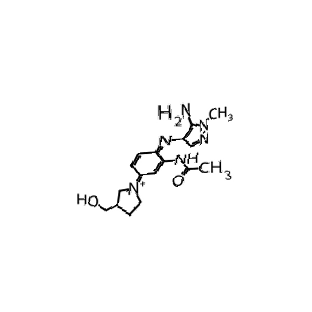 CC(=O)NC1=CC(=[N+]2\CCC(CO)C2)/C=CC/1=N/c1cnn(C)c1N